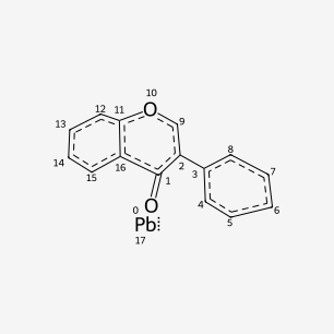 O=c1c(-c2ccccc2)coc2ccccc12.[Pb]